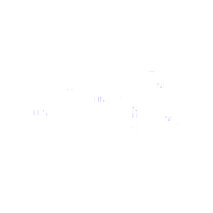 N=C(N)NC(N[C@@H](CC(N)=O)C(=O)O)C(=O)O